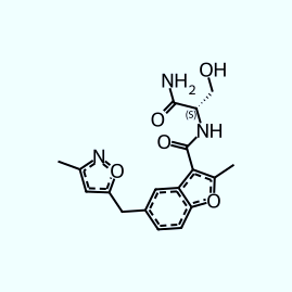 Cc1cc(Cc2ccc3oc(C)c(C(=O)N[C@@H](CO)C(N)=O)c3c2)on1